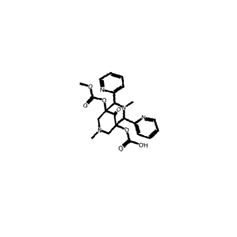 COC(=O)OC12CN(C)CC(OC(=O)O)(C1=O)C(c1ccccn1)N(C)C2c1ccccn1